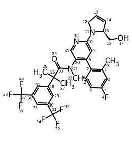 Cc1cc(F)ccc1-c1cc(N2CC=C[C@H]2CO)ncc1N(C)C(=O)C(C)(C)c1cc(C(F)(F)F)cc(C(F)(F)F)c1